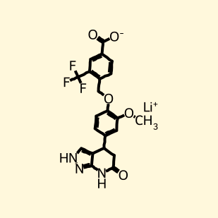 COc1cc(C2CC(=O)Nc3n[nH]cc32)ccc1OCc1ccc(C(=O)[O-])cc1C(F)(F)F.[Li+]